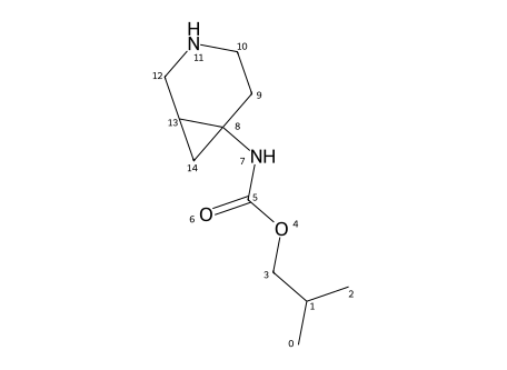 CC(C)COC(=O)NC12CCNCC1C2